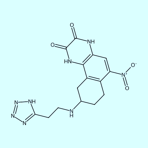 O=c1[nH]c2cc([N+](=O)[O-])c3c(c2[nH]c1=O)CC(NCCc1nnn[nH]1)CC3